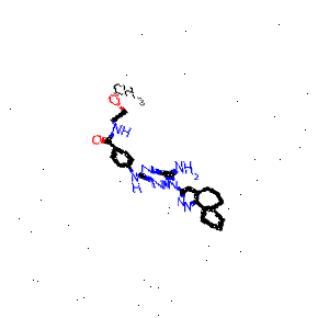 COCCNC(=O)c1ccc(Nc2nc(N)n(-c3cc4c(nn3)-c3ccccc3CCC4)n2)cc1